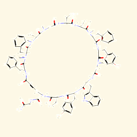 CCCC[C@H]1C(=O)N(C)CC(=O)N[C@@H](CC(=O)O)C(=O)N[C@@H](C(C)C)C(=O)N(C)[C@@H](Cc2ccccc2)C(=O)N[C@@H](Cc2ccc(O)cc2)C(=O)N(C)CC(=O)N[C@@H](Cc2c[nH]c3ccccc23)C(=O)N[C@@H](Cc2ccc(O)cc2)C(=O)N[C@@H](CC(C)C)C(=O)N[C@H](C(=O)NCC(N)=O)CC=CC(=O)N[C@@H](Cc2ccccc2)C(=O)N(C)[C@@H](Cc2ccccc2)C(=O)N1C